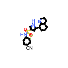 N#Cc1ccc(NS(=O)(=O)c2c[nH]c(-c3cccc4cccnc34)c2)c(F)c1